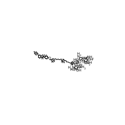 CN1CCN(c2ccc3nc(-c4ccc(OCc5cn(CCCCCn6cc(CCCCc7cn(C[C@H]8OC(O[C@@H]9[C@H](O)C(N)CC(N)[C@H]9OC9OC(CN)[C@@H](O)[C@H](O)[C@@H]9N)[C@@H](O)[C@H]8OC8O[C@@H](CN)C(O)C(O)C8N)nn7)nn6)nn5)cc4)[nH]c3c2)CC1